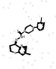 Cc1cccc(N2CCN(C(=S)N/N=C3/CCOc4cc(C)cnc43)CC2)c1